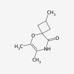 CC1=C(C)OC2(CC(C)C2)C(=O)N1